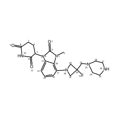 Cn1c(=O)n(C2CCC(=O)NC2=O)c2cccc(N3CC(F)(CN4CCNCC4)C3)c21